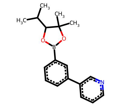 CC(C)C1OB(c2cccc(-c3cccnc3)c2)OC1(C)C